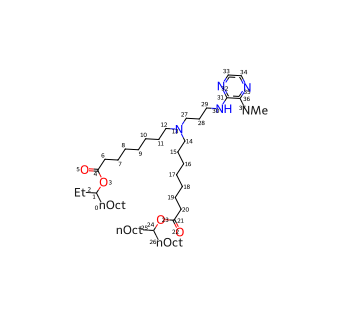 CCCCCCCCC(CC)OC(=O)CCCCCCCN(CCCCCCCC(=O)OC(CCCCCCCC)CCCCCCCC)CCCNc1nccnc1NC